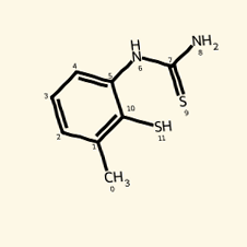 Cc1cccc(NC(N)=S)c1S